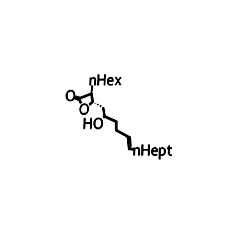 CCCCCCCC=CCCC(O)C[C@@H]1OC(=O)[C@H]1CCCCCC